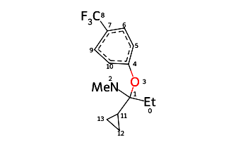 CCC(NC)(Oc1ccc(C(F)(F)F)cc1)C1CC1